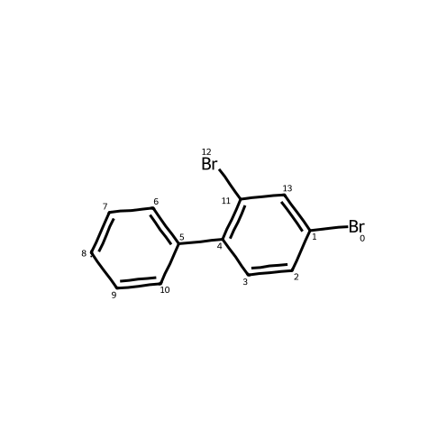 Brc1ccc(-c2cc[c]cc2)c(Br)c1